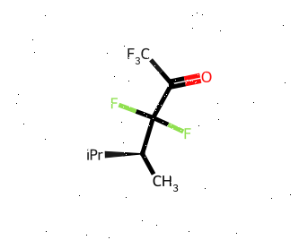 CC(C)[C@H](C)C(F)(F)C(=O)C(F)(F)F